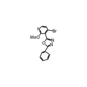 COc1nccc(Br)c1-c1nnc(-c2ccccc2)o1